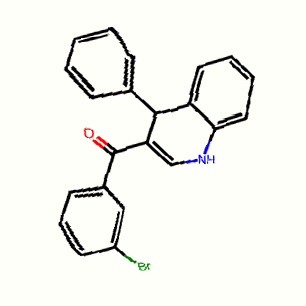 O=C(C1=CNc2ccccc2C1c1ccccc1)c1cccc(Br)c1